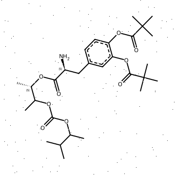 CC(C)C(C)OC(=O)OC(C)[C@H](C)OC(=O)[C@@H](N)Cc1ccc(OC(=O)C(C)(C)C)c(OC(=O)C(C)(C)C)c1